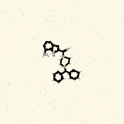 O=C(c1cc2cccc([N+](=O)[O-])c2[nH]1)N1CCN(C(c2ccccc2)c2ccccc2)CC1